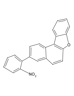 O=[N+]([O-])c1ccccc1-c1ccc2c(ccc3oc4ccccc4c32)c1